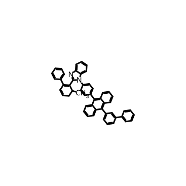 CC1CC=CC(c2ccccc2)=C1c1nc2ccccc2n1-c1ccc(-c2c3ccccc3c(-c3cccc(-c4ccccc4)c3)c3ccccc23)cc1